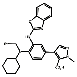 CC(C)CN(c1ccc(-c2cnn(C)c2C(=O)O)cc1Nc1nc2ccccc2o1)C1CCCCC1